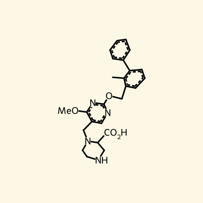 COc1nc(OCc2cccc(-c3ccccc3)c2C)ncc1CN1CCNCC1C(=O)O